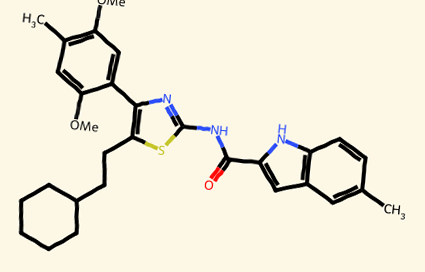 COc1cc(-c2nc(NC(=O)c3cc4cc(C)ccc4[nH]3)sc2CCC2CCCCC2)c(OC)cc1C